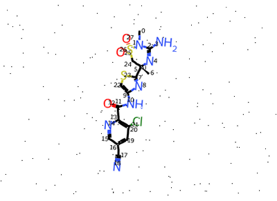 CN1C(N)=N[C@](C)(c2nc(NC(=O)c3ncc(C#N)cc3Cl)cs2)CS1(=O)=O